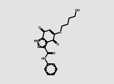 O=C(Nc1ccccc1)c1n[nH]c2c1C(=O)C(SCCCCO)=CC2=O